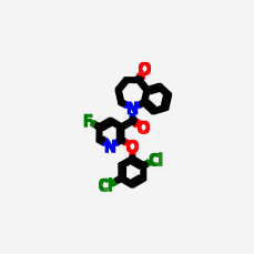 O=C1CCCN(C(=O)c2cc(F)cnc2Oc2cc(Cl)ccc2Cl)c2ccccc21